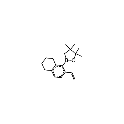 C=Cc1ccc2c(c1B1CC(C)(C)C(C)(C)O1)CCCC2